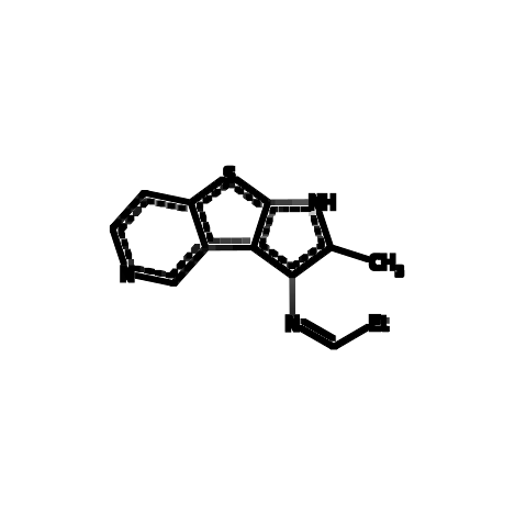 CC/C=N\c1c(C)[nH]c2sc3ccncc3c12